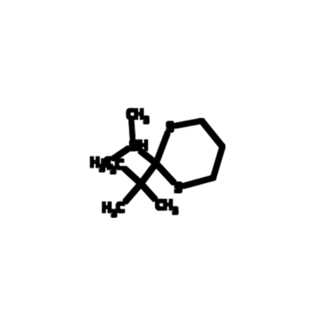 C[SiH](C)C1(C(C)(C)C)SCCCS1